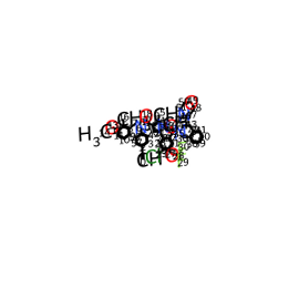 C#Cc1ccc(N(Cc2cccc(OC)c2C)C(=O)c2cc(-c3cc(Cl)c(OC(F)F)cc3C(=O)N3Cc4ccccc4C[C@H]3CN3CCOCC3)n(C)c2C)cc1